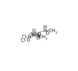 C=CC(=O)NCCCC[C@H](NS(C)(=O)=O)C(=O)N1CCN(C(=O)c2cccc3ccccc23)CC1